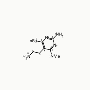 CCCCc1nc(N)nc(NC)c1CCN